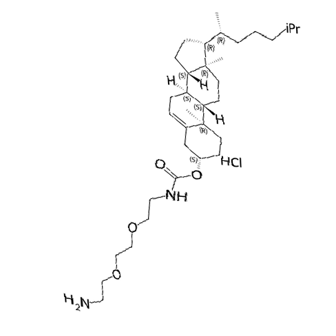 CC(C)CCC[C@@H](C)[C@H]1CC[C@H]2[C@@H]3CC=C4C[C@@H](OC(=O)NCCOCCOCCN)CC[C@]4(C)[C@H]3CC[C@]12C.Cl